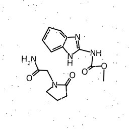 COC(=O)Nc1nc2ccccc2[nH]1.NC(=O)CN1CCCC1=O